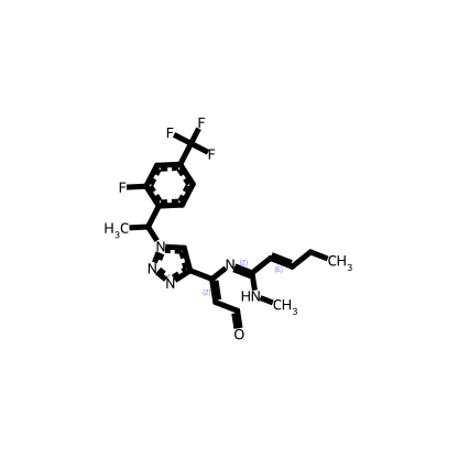 CC/C=C/C(=N/C(=C\C=O)c1cn(C(C)c2ccc(C(F)(F)F)cc2F)nn1)NC